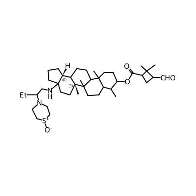 CCC(CNC12CCC[C@@H]1C1CCC3C4(C)CCC(OC(=O)C5CC(C=O)C5(C)C)C(C)C4CCC3(C)[C@]1(C)CC2)N1CC[S+]([O-])CC1